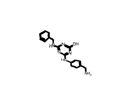 NCc1ccc(Nc2nc(O)nc(NCc3ccccc3)n2)cc1